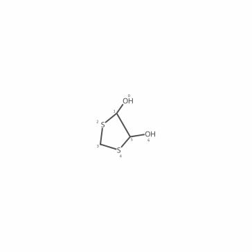 OC1SCSC1O